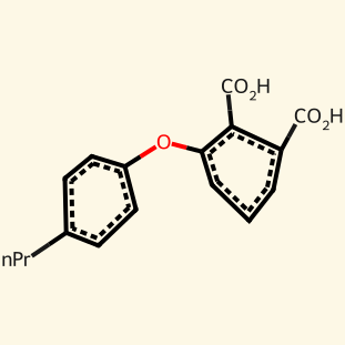 CCCc1ccc(Oc2cccc(C(=O)O)c2C(=O)O)cc1